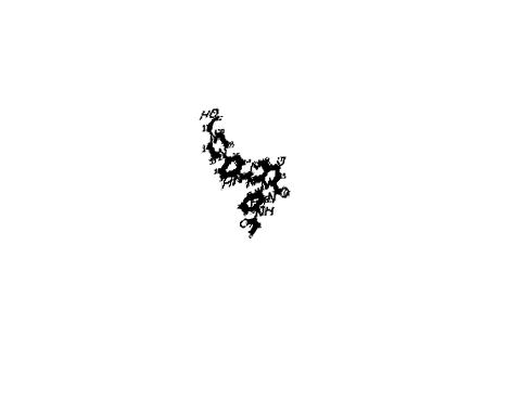 C=CC(=O)Nc1cccc(-n2c(C(N)=O)cc(=O)c3cnc(Nc4ccc(N5CCN(CCO)CC5)cc4)nc32)c1